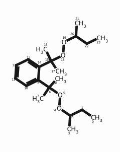 CCC(C)OOC(C)(C)c1ccccc1C(C)(C)OOC(C)CC